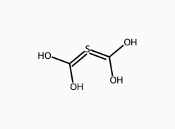 OC(O)=S=C(O)O